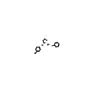 C=Cc1ccc(NC(=O)[C@@H]2C[C@@H](OC(C)(C)C)CN2C(=O)OCc2ccccc2)cc1